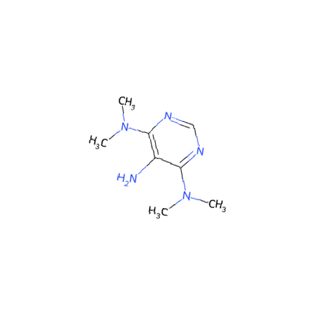 CN(C)c1ncnc(N(C)C)c1N